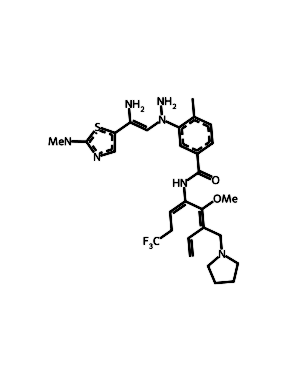 C=C/C(CN1CCCC1)=C(OC)\C(=C/CC(F)(F)F)NC(=O)c1ccc(C)c(N(N)/C=C(\N)c2cnc(NC)s2)c1